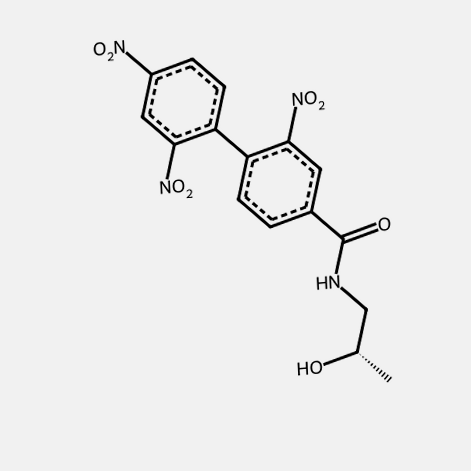 C[C@H](O)CNC(=O)c1ccc(-c2ccc([N+](=O)[O-])cc2[N+](=O)[O-])c([N+](=O)[O-])c1